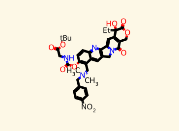 CCC1(O)C(=O)OCc2c1cc1n(c2=O)Cc2cc3c(C[N+](C)(C)Cc4ccc([N+](=O)[O-])cc4)c(OC(=O)NCC(=O)OC(C)(C)C)ccc3nc2-1